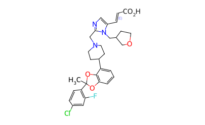 CC1(c2ccc(Cl)cc2F)Oc2cccc(C3CCN(Cc4ncc(/C=C/C(=O)O)n4CC4CCOC4)CC3)c2O1